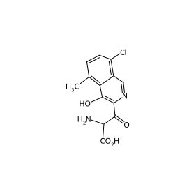 Cc1ccc(Cl)c2cnc(C(=O)C(N)C(=O)O)c(O)c12